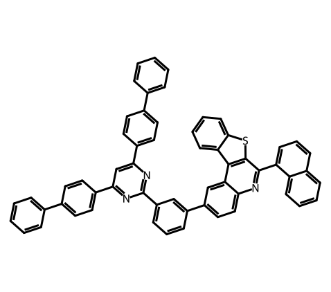 c1ccc(-c2ccc(-c3cc(-c4ccc(-c5ccccc5)cc4)nc(-c4cccc(-c5ccc6nc(-c7cccc8ccccc78)c7sc8ccccc8c7c6c5)c4)n3)cc2)cc1